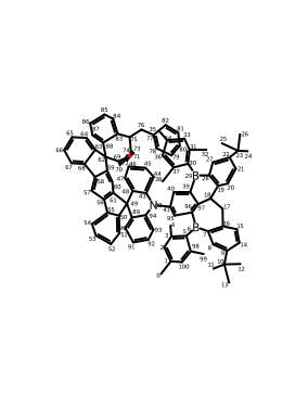 Cc1cc(C)c(B2c3cc(C(C)(C)C)ccc3CC3c4ccc(C(C)(C)C)cc4B(c4c(C)cc(C)cc4C)c4cc(N5c6ccccc6C6(c7ccccc7-c7cc8c(cc76)C6(c7ccccc7-8)c7ccccc7C(Cc7ccccc7)c7ccccc76)c6ccccc65)cc2c43)c(C)c1